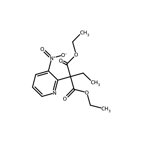 CCOC(=O)C(CC)(C(=O)OCC)c1ncccc1[N+](=O)[O-]